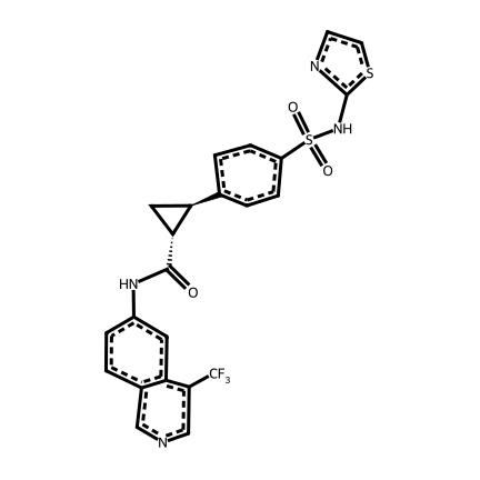 O=C(Nc1ccc2cncc(C(F)(F)F)c2c1)[C@@H]1C[C@H]1c1ccc(S(=O)(=O)Nc2nccs2)cc1